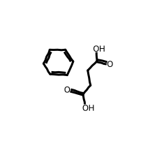 O=C(O)CCC(=O)O.c1ccccc1